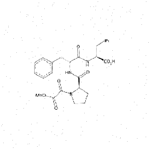 COC(=O)C(=O)N1CCC[C@@H]1C(=O)N[C@H](Cc1ccccc1)C(=O)N[C@@H](CC(C)C)C(=O)O